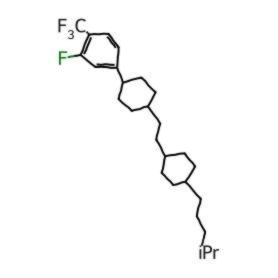 CC(C)CCCC1CCC(CCC2CCC(c3ccc(C(F)(F)F)c(F)c3)CC2)CC1